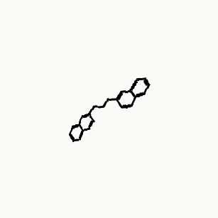 c1ccc2cc(CCCc3ccc4ccccc4c3)ccc2c1